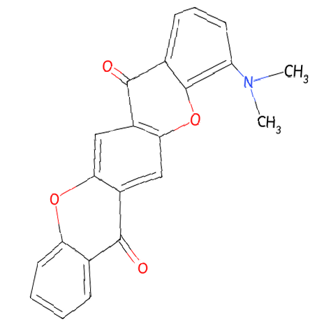 CN(C)c1cccc2c(=O)c3cc4oc5ccccc5c(=O)c4cc3oc12